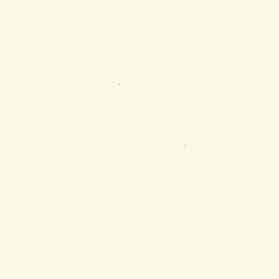 C=CS/C(=C\C)c1cc(C)cc(C)c1